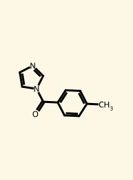 Cc1ccc(C(=O)n2ccnc2)cc1